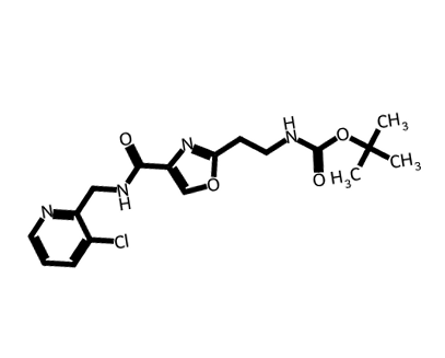 CC(C)(C)OC(=O)NCCc1nc(C(=O)NCc2ncccc2Cl)co1